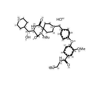 CCCCN1C(=O)[C@@H]([C@H](O)C2CCOCC2)NC(=O)C12CCN(Cc1ccc(Oc3ccc(C(=O)NCC(C)(C)C)cc3OC)cc1)CC2.Cl